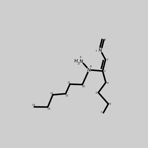 C=N/C=C(/CCCC)N(N)CCCCCC